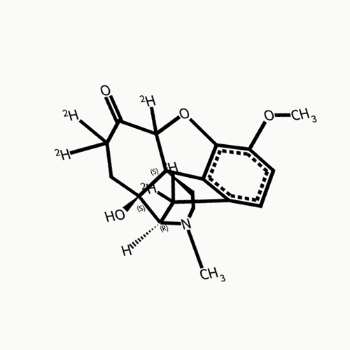 [2H]C1([2H])C[C@@]2(O)[C@@H]3N(C)CC[C@@]24c2c(ccc(OC)c2OC4([2H])C1=O)C3([2H])[2H]